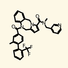 Cc1cc(C(=O)N2Cc3ccc(C(=O)N(C)Cc4cccnc4)n3Cc3ccccc32)ccc1-c1ccccc1C(F)(F)F